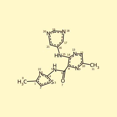 Cc1csc(NC(=O)c2nc(C)cnc2Nc2cncnc2)n1